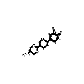 CCCC1COC(C2CCC(c3ccc(F)c(F)c3)OC2)OC1